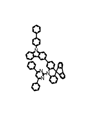 c1ccc(-c2ccc(-n3c4ccccc4c4cc(-c5ccc6c(c5)N(c5nc(-c7ccccc7)cc(-c7ccccc7)n5)c5ccccc5C65c6ccccc6-c6ccccc65)ccc43)cc2)cc1